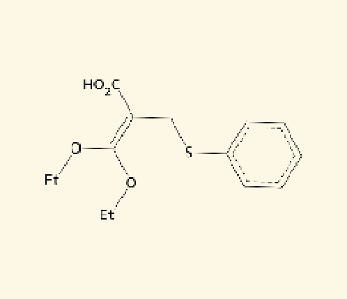 CCOC(OCC)=C(CSc1ccccc1)C(=O)O